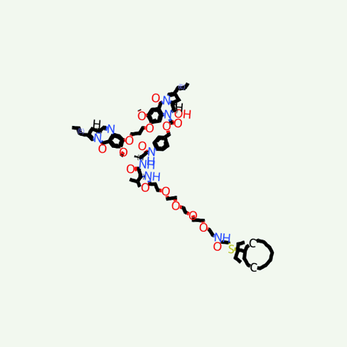 C/C=C/C1=CN2C(=O)c3cc(OC)c(OCCCOc4cc5c(cc4OC)C(=O)N4C=C(/C=C/C)C[C@H]4[C@H](O)N5C(=O)OCc4ccc(NC(=O)[C@H](C)NC(=O)[C@@H](NC(=O)CCOCCOCCOCCOCCNC(=O)CSC(CC)(CC)C5CCCCCCCCCCCC5)C(C)C)cc4)cc3N=C[C@@H]2C1